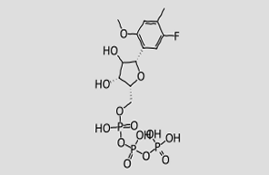 COc1cc(C)c(F)cc1[C@@H]1O[C@H](COP(=O)(O)OP(=O)(O)OP(=O)(O)O)[C@H](O)C1O